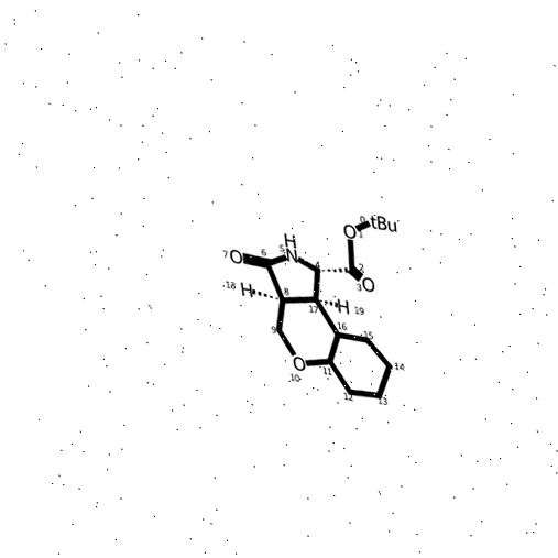 CC(C)(C)OC(=O)[C@H]1NC(=O)[C@@H]2COC3CCCCC3[C@H]12